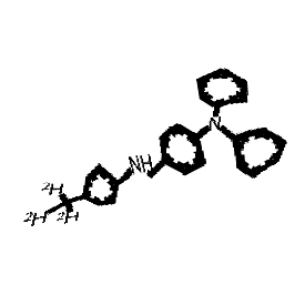 [2H]C([2H])([2H])c1ccc(NCc2ccc(N(c3ccccc3)c3ccccc3)cc2)cc1